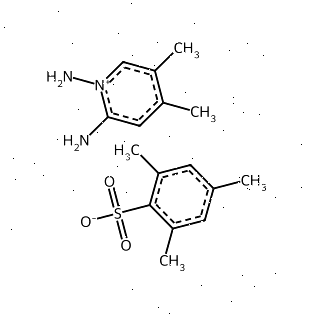 Cc1cc(C)c(S(=O)(=O)[O-])c(C)c1.Cc1cc(N)[n+](N)cc1C